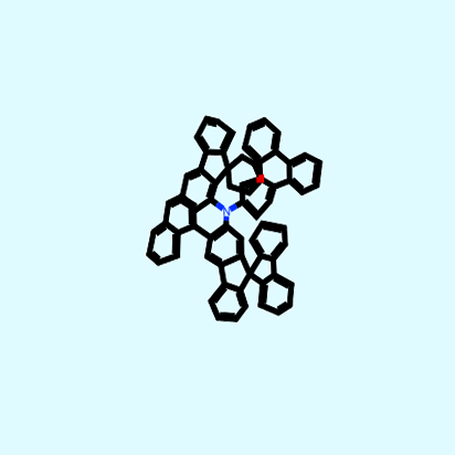 c1ccc2c(c1)-c1cccc(N(c3ccc4c5ccccc5c5ccccc5c4c3)c3cc4c(cc3-c3cccc5ccccc35)-c3ccccc3C43c4ccccc4-c4ccccc43)c1C21CCCCC1